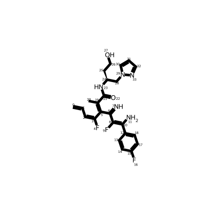 C=C/C=C(F)\C(C(=N)/C(F)=C(\N)c1ccc(F)cc1)=C(/C)C(=O)N[C@@H](CCO)Cn1cccn1